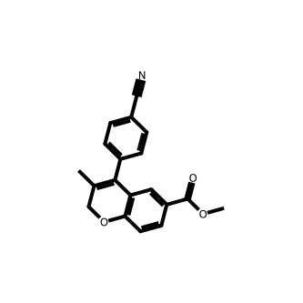 COC(=O)c1ccc2c(c1)C(c1ccc(C#N)cc1)=C(C)CO2